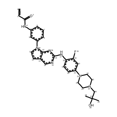 C=CC(=O)Nc1cccc(-n2ccc3cnc(Nc4ccc(N5CCN(CC(C)(C)O)CC5)cc4F)nc32)c1